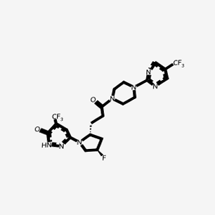 O=C(CC[C@@H]1C[C@@H](F)CN1c1cc(C(F)(F)F)c(=O)[nH]n1)N1CCN(c2ncc(C(F)(F)F)cn2)CC1